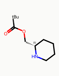 CC(C)(C)C(=O)OC[C@@H]1CCCCN1